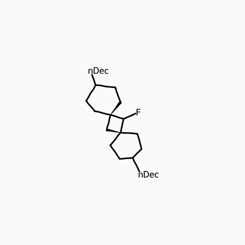 CCCCCCCCCCC1CC[C@]2(CC1)C[C@@]1(CCC(CCCCCCCCCC)CC1)C2F